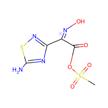 CS(=O)(=O)OC(=O)/C(=N\O)c1nsc(N)n1